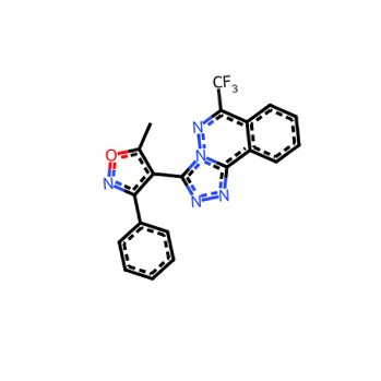 Cc1onc(-c2ccccc2)c1-c1nnc2c3ccccc3c(C(F)(F)F)nn12